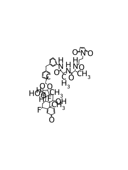 C[C@H](NC(=O)CCN1C(=O)C=CC1=O)C(=O)N[C@@H](C)C(=O)Nc1cccc(Cc2ccc([C@@H]3O[C@@H]4C[C@H]5C6C[C@H](F)C7=CC(=O)C=CC7(C)[C@@]6(F)C(O)CC5(C)[C@]4(C(=O)CO)O3)cc2)c1